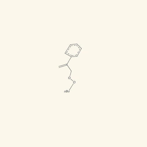 C=C(COOCCCC)c1ccccc1